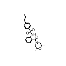 CC[C@H](C)c1ccc(S(=O)(=O)Nc2ccccc2C(=O)N2C[C@@H](C)O[C@@H](C)C2)cc1